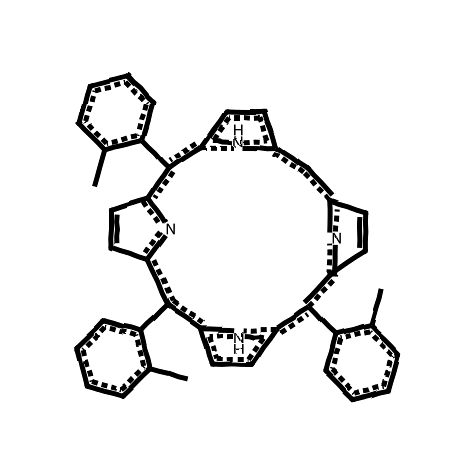 Cc1ccccc1-c1c2nc(c(-c3ccccc3C)c3ccc([nH]3)c(-c3ccccc3C)c3nc(cc4ccc1[nH]4)C=C3)C=C2